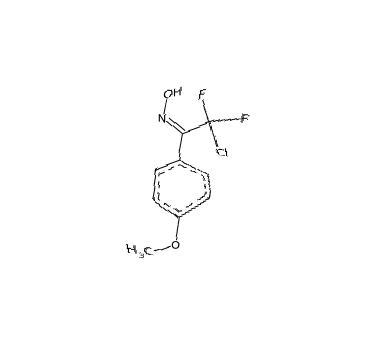 COc1ccc(C(=NO)C(F)(F)Cl)cc1